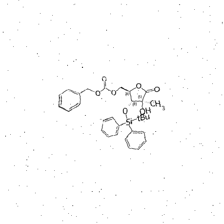 CC(C)(C)[Si](O[C@@H]1[C@@H](COC(=O)OCc2ccccc2)OC(=O)[C@@]1(C)O)(c1ccccc1)c1ccccc1